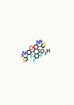 CN1c2cc3c(cc2-c2ccsc2C1(C)C)C(c1c(F)c(F)cc(F)c1S(=O)(=O)O)=c1cc2c(cc1O3)=[N+](C)C(C)(C)c1sccc1-2